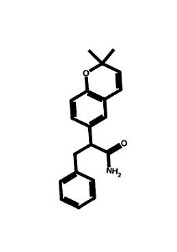 CC1(C)C=Cc2cc(C(Cc3ccccc3)C(N)=O)ccc2O1